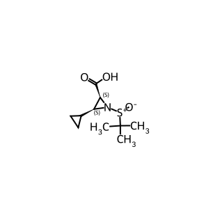 CC(C)(C)[S+]([O-])N1[C@H](C(=O)O)[C@@H]1C1CC1